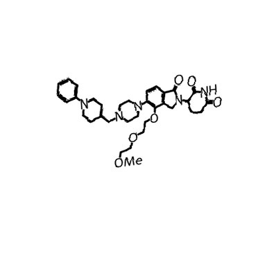 COCCOCCOc1c(N2CCN(CC3CCN(c4ccccc4)CC3)CC2)ccc2c1CN(C1CCC(=O)NC1=O)C2=O